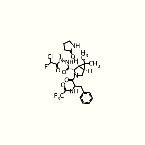 CC1(C)[C@@H]2[C@@H](C(=O)NN(C[C@@H]3CCNC3=O)C(=O)C(F)Cl)N(C(=O)C(Cc3ccccc3)NC(=O)C(F)(F)F)C[C@@H]21